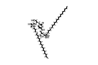 CCCCCCCCCCCCCCCCOCCCOP(=O)(O)CO[C@H](CO)CNc1ccn(C[C@@H](CO)OCP(=O)(O)OCCCOCCCCCCCCCCCCCCCC)c(=O)n1